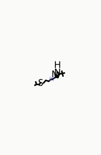 CC(C)CSCCC/C=C/c1cc(C(C)(C)C)[nH]n1